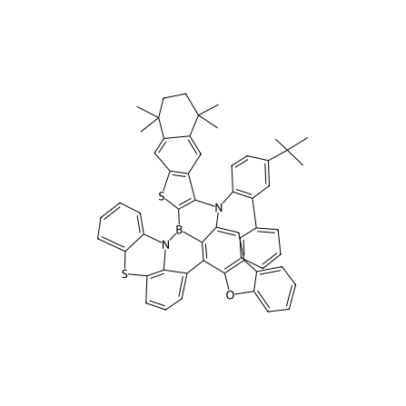 CC(C)(C)c1ccc(N2c3cc4c(oc5ccccc54)c4c3B(c3sc5cc6c(cc5c32)C(C)(C)CCC6(C)C)N2c3ccccc3Sc3cccc-4c32)c(-c2ccccc2)c1